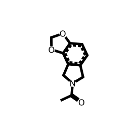 CC(=O)N1Cc2ccc3c(c2C1)OCO3